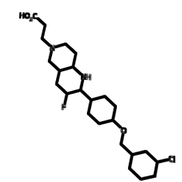 O=C(O)CCN1CCC2NC(C3CCC(OCC4CCCC(Cl)C4)CC3)C(F)CC2C1